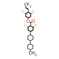 CC1CCC(C2CCC(c3cc(F)c(C(=O)Oc4cc(F)c(/C=C/C(F)(F)F)c(F)c4)c(F)c3)CC2)CC1